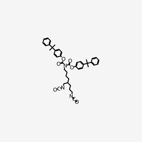 CC(C)(c1ccccc1)c1ccc(OC(=O)N(CCCCC(CCCN=C=O)CN=C=O)C(=O)Oc2ccc(C(C)(C)c3ccccc3)cc2)cc1